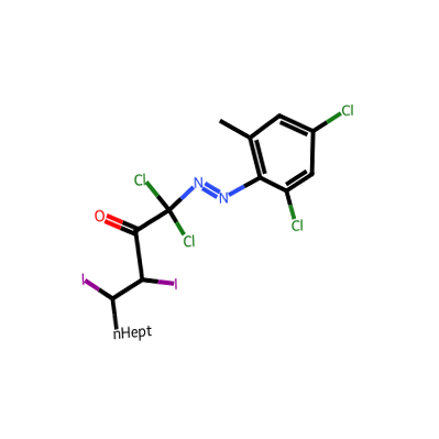 CCCCCCCC(I)C(I)C(=O)C(Cl)(Cl)N=Nc1c(C)cc(Cl)cc1Cl